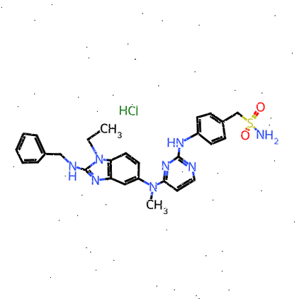 CCn1c(NCc2ccccc2)nc2cc(N(C)c3ccnc(Nc4ccc(CS(N)(=O)=O)cc4)n3)ccc21.Cl